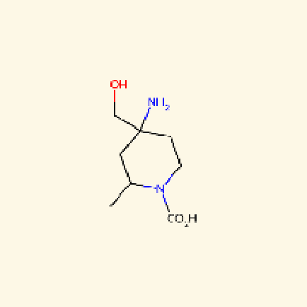 CC1CC(N)(CO)CCN1C(=O)O